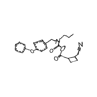 CCCN(Cc1ccc(Oc2ccccc2)cc1)C(=O)OC(=O)C1CCC1C#N